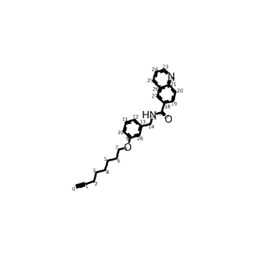 C#CCCCCCCOc1cccc(CNC(=O)c2ccc3ncccc3c2)c1